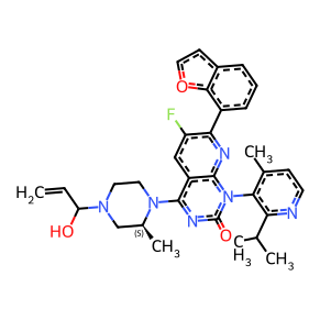 C=CC(O)N1CCN(c2nc(=O)n(-c3c(C)ccnc3C(C)C)c3nc(-c4cccc5ccoc45)c(F)cc23)[C@@H](C)C1